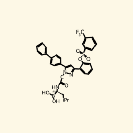 CC(C)C[C@H](NC(=O)Cn1nc(-c2ccccc2OS(=O)(=O)c2cccc(C(F)(F)F)c2)cc1-c1ccc(-c2ccccc2)cc1)B(O)O